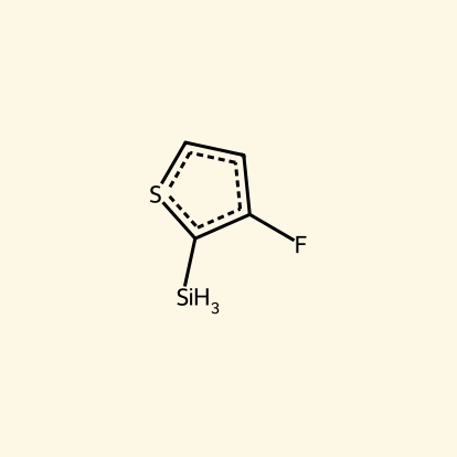 Fc1ccsc1[SiH3]